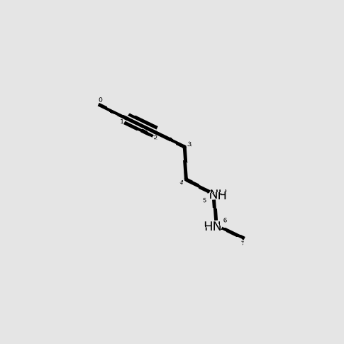 CC#CCCNNC